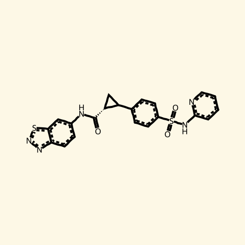 O=C(Nc1ccc2nnsc2c1)[C@@H]1CC1c1ccc(S(=O)(=O)Nc2ccccn2)cc1